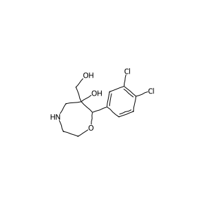 OCC1(O)CNCCOC1c1ccc(Cl)c(Cl)c1